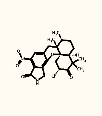 C[C@H]1CC[C@H]2C(C)(C)C(=O)[C@H](Cl)C[C@]23Oc2c(cc([N+](=O)[O-])c4c2CNC4=O)C[C@]13C